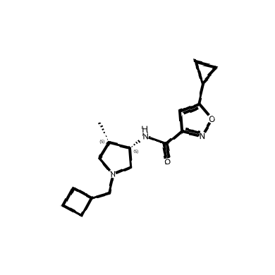 C[C@H]1CN(CC2CCC2)C[C@H]1NC(=O)c1cc(C2CC2)on1